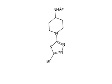 CC(=O)NC1CCN(c2nnc(Br)s2)CC1